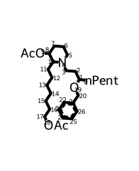 CCCCCC(CCN1CCCC(OC(C)=O)C1CCCCCCCOC(C)=O)OCc1ccccc1